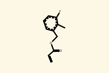 C=CC(=O)OCc1cccc(F)c1C